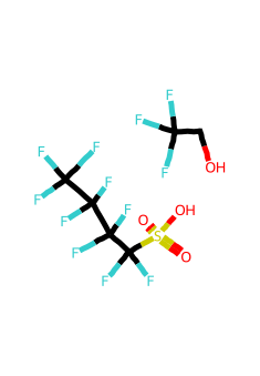 O=S(=O)(O)C(F)(F)C(F)(F)C(F)(F)C(F)(F)F.OCC(F)(F)F